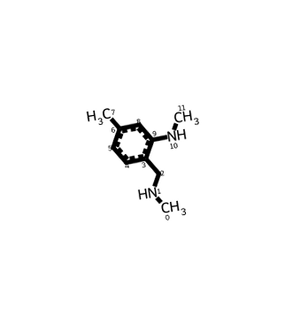 CNCc1ccc(C)cc1NC